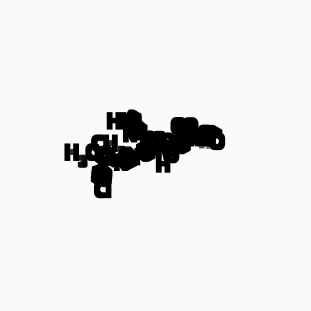 CC1(C)CCC(CN2CCN(c3ccc(C(=O)NS(=O)(=O)c4ccc(NC[C@@H]5COCCO5)c([N+](=O)[O-])c4)c(Oc4cnc5[nH]ccc5c4)c3)CC2)=C(c2ccc(Cl)cc2)C1